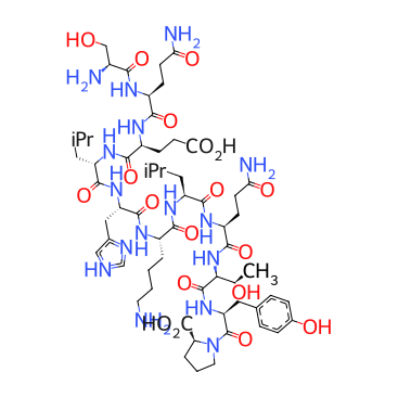 CC(C)C[C@H](NC(=O)[C@H](CCC(=O)O)NC(=O)[C@H](CCC(N)=O)NC(=O)[C@@H](N)CO)C(=O)N[C@@H](Cc1c[nH]cn1)C(=O)N[C@@H](CCCCN)C(=O)N[C@@H](CC(C)C)C(=O)N[C@@H](CCC(N)=O)C(=O)N[C@H](C(=O)N[C@@H](Cc1ccc(O)cc1)C(=O)N1CCC[C@H]1C(=O)O)[C@@H](C)O